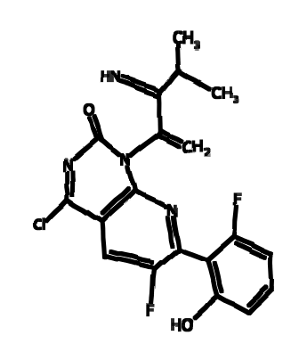 C=C(C(=N)C(C)C)n1c(=O)nc(Cl)c2cc(F)c(-c3c(O)cccc3F)nc21